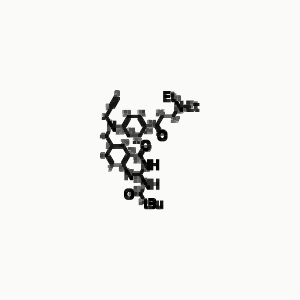 C#CCN(Cc1ccc2nc(NC(=O)C(C)(C)C)[nH]c(=O)c2c1)c1ccc(C(=O)CCN(CC)CC)cc1